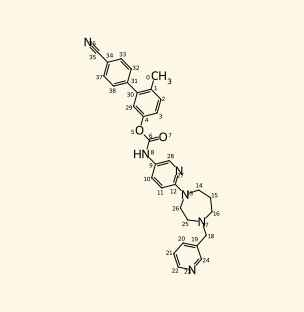 Cc1ccc(OC(=O)Nc2ccc(N3CCCN(Cc4cccnc4)CC3)nc2)cc1-c1ccc(C#N)cc1